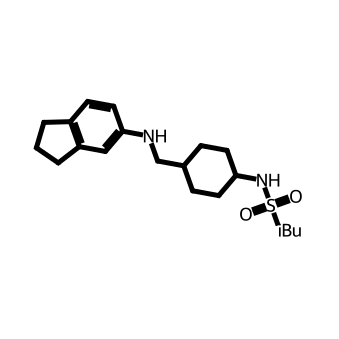 CCC(C)S(=O)(=O)NC1CCC(CNc2ccc3c(c2)CCC3)CC1